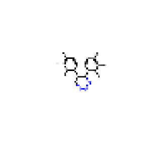 Cc1ccc(-c2cnnnc2-c2ccc(C)c(C)c2C)c(C)c1C